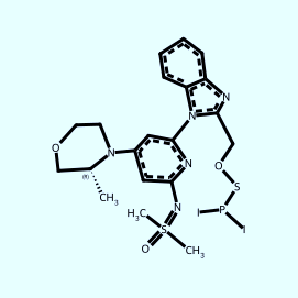 C[C@@H]1COCCN1c1cc(N=S(C)(C)=O)nc(-n2c(COSP(I)I)nc3ccccc32)c1